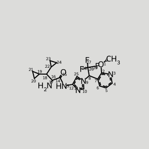 COc1ncccc1C(n1cnc(NC(=O)C(N)C(C2CC2)C2CC2)c1)C(F)(F)F